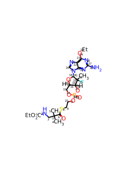 CCOC(=O)NCC(C)(C)C(=O)SCCO[P@]1(=O)OC[C@H]2O[C@@H](n3cnc4c(OCC)nc(N)nc43)[C@](C)(F)[C@@H]2O1